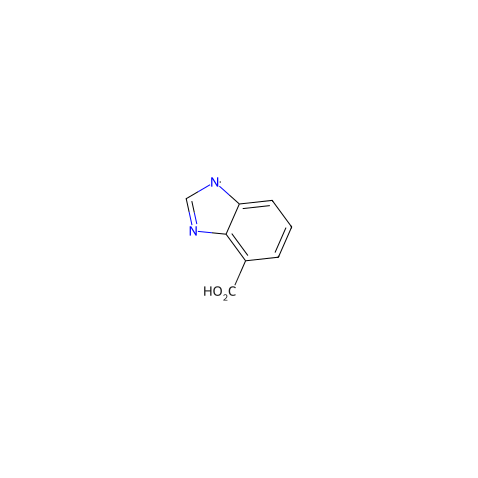 O=C(O)c1cccc2c1N=C[N]2